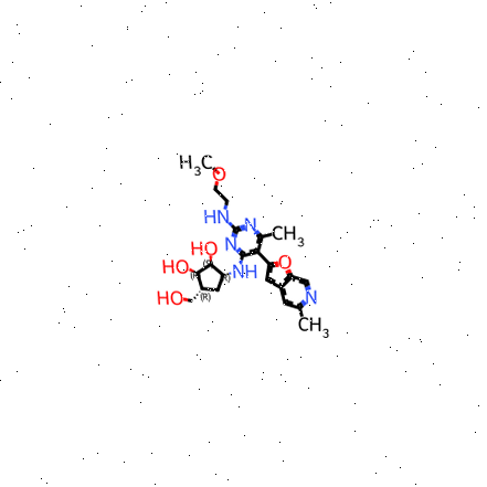 COCCNc1nc(C)c(-c2cc3cc(C)ncc3o2)c(N[C@@H]2C[C@H](CO)[C@@H](O)[C@H]2O)n1